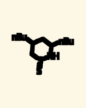 CCCCC1CC(CCCC)NS(=S)C1